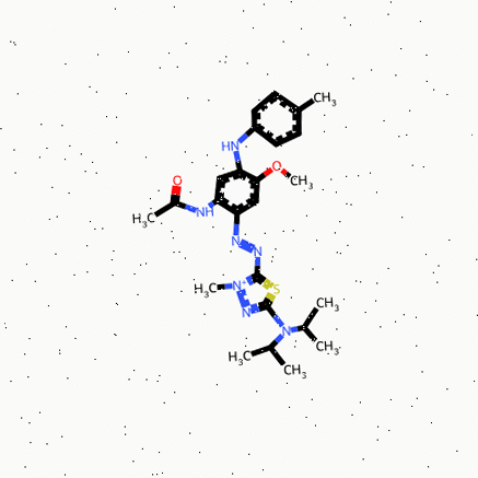 COc1cc(N=Nc2sc(N(C(C)C)C(C)C)n[n+]2C)c(NC(C)=O)cc1Nc1ccc(C)cc1